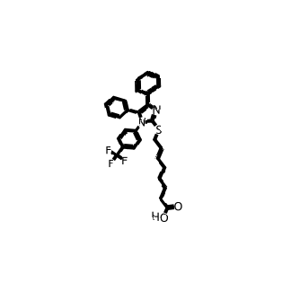 O=C(O)CCCCCCCSc1nc(-c2ccccc2)c(-c2ccccc2)n1-c1ccc(C(F)(F)F)cc1